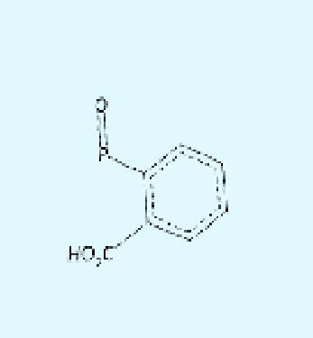 O=Pc1ccccc1C(=O)O